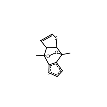 CC12OOC(C)(c3ccsc31)C1SC=CC12